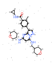 Cc1cc(-c2cnn3c(NCC4CCOCC4)cc(N[C@H]4CCCOC4)nc23)ccc1C(=O)NC1CC1